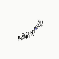 O=C(NCC(F)(F)F)Nc1cccc(-c2cnc3cc(/C=N/OCC(O)CNC4CC4)ccn23)c1